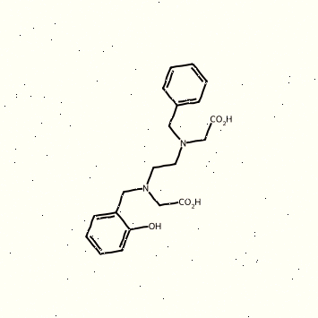 O=C(O)CN(CCN(CC(=O)O)Cc1ccccc1O)Cc1ccccc1